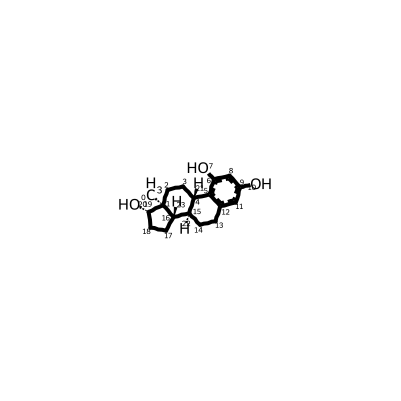 C[C@]12CC[C@@H]3c4c(O)cc(O)cc4CC[C@H]3[C@@H]1CC[C@@H]2O